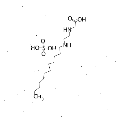 CCCCCCCCCCCCNCCNCC(=O)O.O=S(=O)(O)O